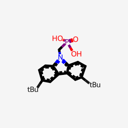 CC(C)(C)c1ccc2c(c1)c1cc(C(C)(C)C)ccc1n2CP(=O)(O)O